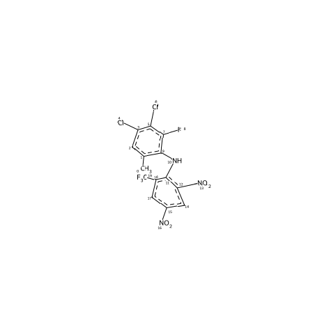 Cc1cc(Cl)c(Cl)c(F)c1Nc1c([N+](=O)[O-])cc([N+](=O)[O-])cc1C(F)(F)F